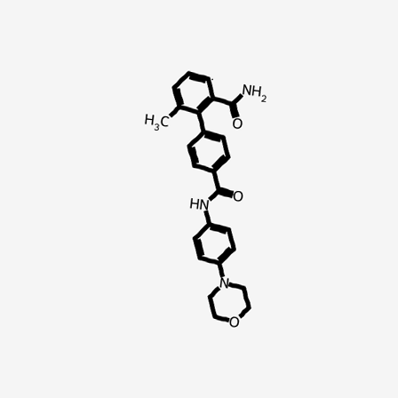 Cc1cc[c]c(C(N)=O)c1-c1ccc(C(=O)Nc2ccc(N3CCOCC3)cc2)cc1